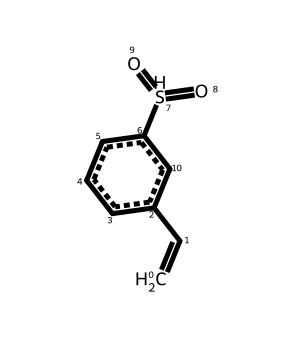 C=Cc1cccc([SH](=O)=O)c1